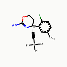 CC(C)[Si](C#C[C@@]1(c2cc([N+](=O)[O-])ccc2F)CCOC(N)=N1)(C(C)C)C(C)C